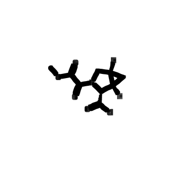 COC(=O)C(=O)N1C[C@@H]2C[C@@H]2[C@@H]1C(=O)Cl